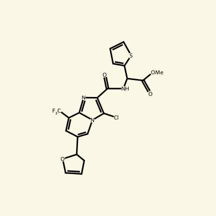 COC(=O)C(NC(=O)c1nc2c(C(F)(F)F)cc(C3CC=CO3)cn2c1Cl)c1cccs1